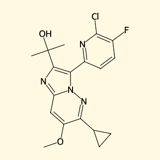 COc1cc2nc(C(C)(C)O)c(-c3ccc(F)c(Cl)n3)n2nc1C1CC1